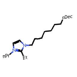 CCCCCCCCCCCCCCCCCn1cc[n+](CCC)c1CC